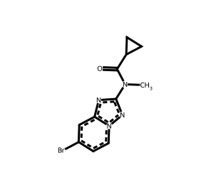 CN(C(=O)C1CC1)c1nc2cc(Br)ccn2n1